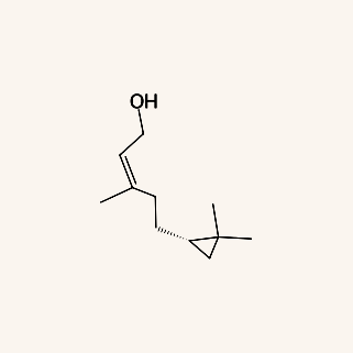 C/C(=C/CO)CC[C@H]1CC1(C)C